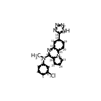 CN(c1cccc(Cl)c1)c1nc2cc(-c3nnn[nH]3)ccc2n2cccc12